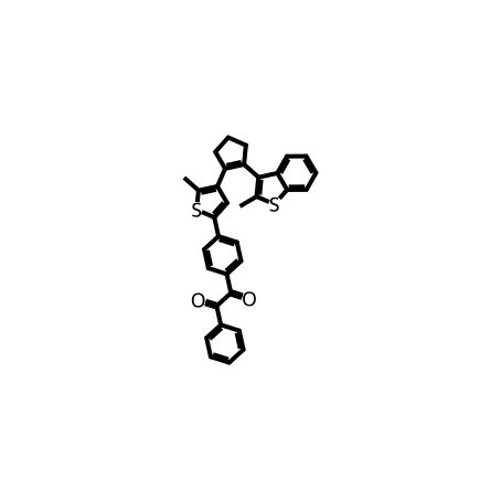 Cc1sc(-c2ccc(C(=O)C(=O)c3ccccc3)cc2)cc1C1=C(c2c(C)sc3ccccc23)CCC1